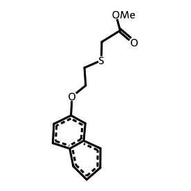 COC(=O)CSCCOc1ccc2ccccc2c1